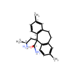 Cc1ccc2c(c1)CCc1cc(C)ccc1C2(C[C@H](C)N)C(N)=O